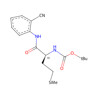 CSCC[C@H](NC(=O)OC(C)(C)C)C(=O)Nc1ccccc1C#N